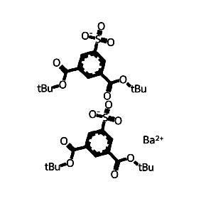 CC(C)(C)OC(=O)c1cc(C(=O)OC(C)(C)C)cc(S(=O)(=O)[O-])c1.CC(C)(C)OC(=O)c1cc(C(=O)OC(C)(C)C)cc(S(=O)(=O)[O-])c1.[Ba+2]